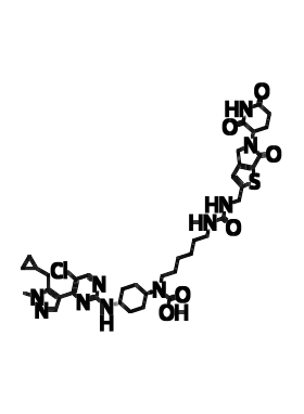 Cn1ncc(-c2nc(N[C@H]3CC[C@H](N(CCCCCCNC(=O)NCc4cc5c(s4)C(=O)N(C4CCC(=O)NC4=O)C5)C(=O)O)CC3)ncc2Cl)c1CC1CC1